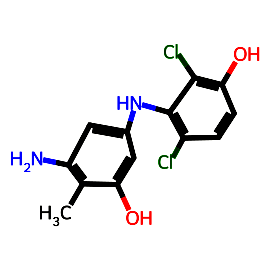 Cc1c(N)cc(Nc2c(Cl)ccc(O)c2Cl)cc1O